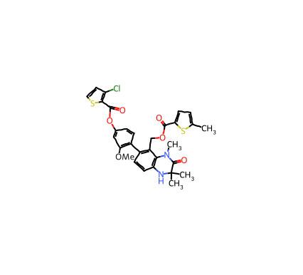 COc1cc(OC(=O)c2sccc2Cl)ccc1-c1ccc2c(c1COC(=O)c1ccc(C)s1)N(C)C(=O)C(C)(C)N2